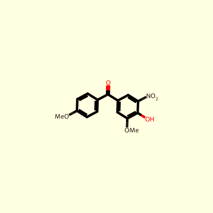 COc1ccc(C(=O)c2cc(OC)c(O)c([N+](=O)[O-])c2)cc1